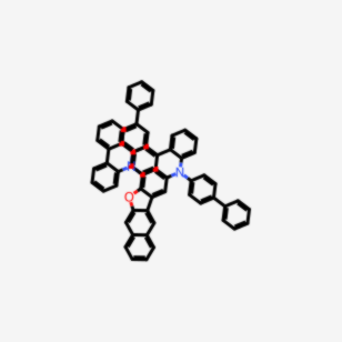 c1ccc(-c2ccc(N(c3cc(N(c4ccc(-c5ccccc5)cc4)c4ccccc4-c4ccccc4)c4oc5cc6ccccc6cc5c4c3)c3ccccc3-c3ccccc3)cc2)cc1